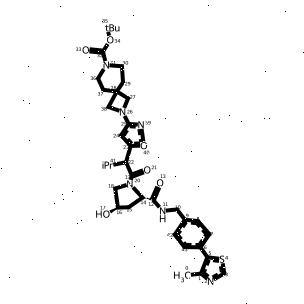 Cc1ncsc1-c1ccc(CNC(=O)[C@@H]2C[C@@H](O)CN2C(=O)C(c2cc(N3CC4(CCN(C(=O)OC(C)(C)C)CC4)C3)no2)C(C)C)cc1